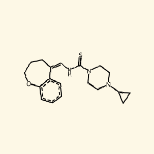 S=C(N/C=C1/CCCOc2ccccc21)N1CCN(C2CC2)CC1